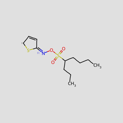 CCCCC(CCC)S(=O)(=O)O/N=C1\C=C[C]S1